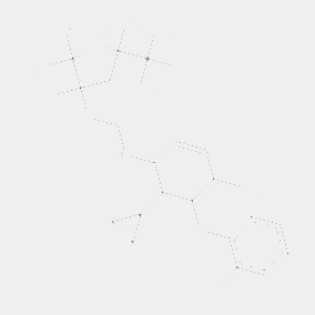 CC1=C(Oc2ccccc2C)C(C2CC2)C(BCOC(C)(CC(C)(O)C(C)(C)O)C(C)(C)O)C=C1